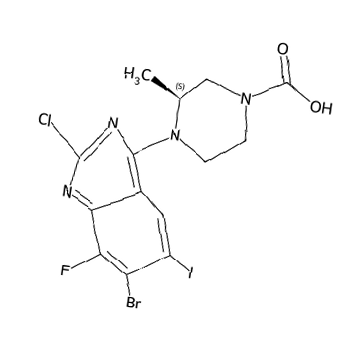 C[C@H]1CN(C(=O)O)CCN1c1nc(Cl)nc2c(F)c(Br)c(I)cc12